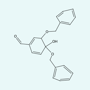 O=CC1=CC(OCc2ccccc2)C(O)(OCc2ccccc2)C=C1